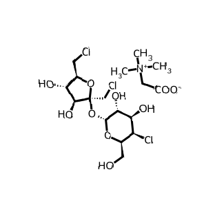 C[N+](C)(C)CC(=O)[O-].OC[C@H]1O[C@H](O[C@]2(CCl)O[C@H](CCl)[C@@H](O)[C@@H]2O)[C@H](O)[C@@H](O)[C@H]1Cl